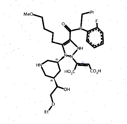 CCOCC(O)[C@H]1CNC[C@@H](N2C(CCCCOC)=C(C(=O)N(CC(C)C)c3ccccc3F)NN2/C(=C/C(=O)O)C(=O)O)C1